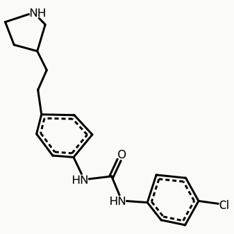 O=C(Nc1ccc(Cl)cc1)Nc1ccc(CCC2CCNC2)cc1